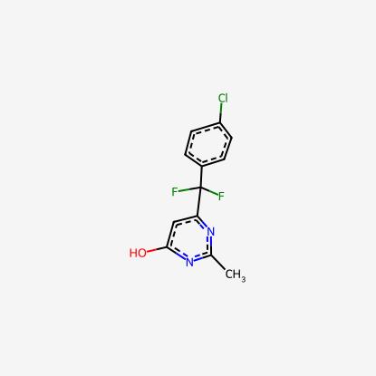 Cc1nc(O)cc(C(F)(F)c2ccc(Cl)cc2)n1